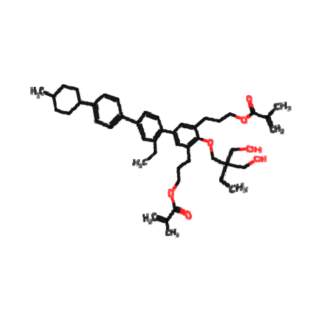 C=C(C)C(=O)OCCCc1cc(-c2ccc(-c3ccc(C4CCC(C)CC4)cc3)cc2CC)cc(CCCOC(=O)C(=C)C)c1OCC(CC)(CO)CO